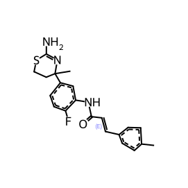 Cc1ccc(/C=C/C(=O)Nc2cc(C3(C)CCSC(N)=N3)ccc2F)cc1